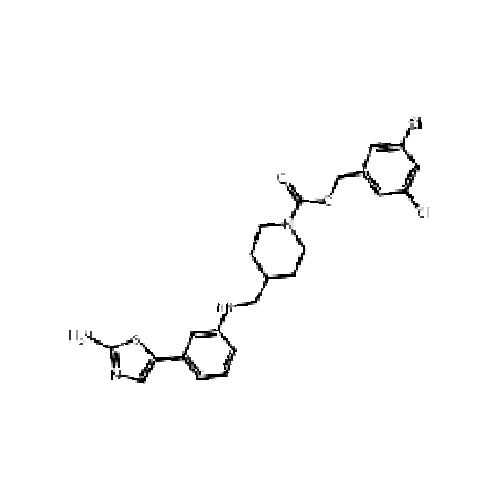 Nc1ncc(-c2cccc(NCC3CCN(C(=O)OCc4cc(Cl)cc(Cl)c4)CC3)c2)s1